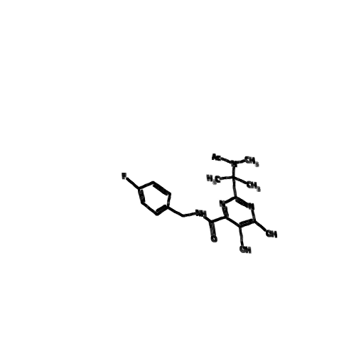 CC(=O)N(C)C(C)(C)c1nc(O)c(O)c(C(=O)NCc2ccc(F)cc2)n1